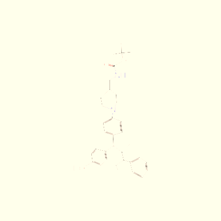 CCC(c1ccccc1)C(C)C(c1ccc(O)cc1)c1ccc(N2CCC(CNC(=O)OC(C)(C)C)CC2)cc1